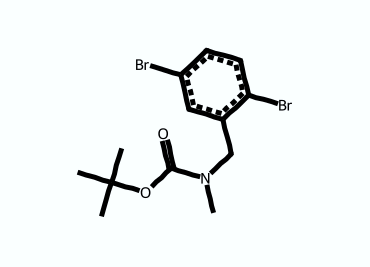 CN(Cc1cc(Br)ccc1Br)C(=O)OC(C)(C)C